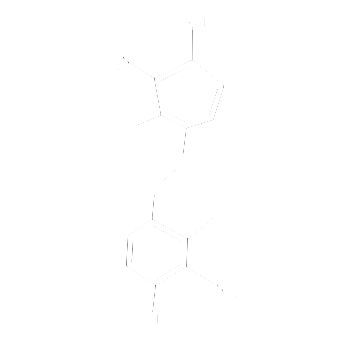 Cc1ccc(SSc2ccc(C)c(N)c2F)c(F)c1N